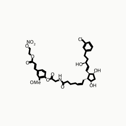 COc1cc(/C=C/C(=O)OCCO[N+](=O)[O-])ccc1OC(=O)CNC(=O)CCC/C=C\C[C@@H]1[C@@H](/C=C/[C@@H](O)CCc2cccc(Cl)c2)[C@H](O)C[C@@H]1O